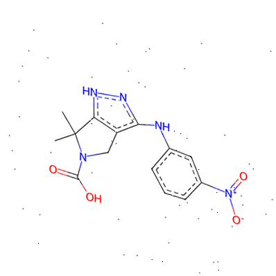 CC1(C)c2[nH]nc(Nc3cccc([N+](=O)[O-])c3)c2CN1C(=O)O